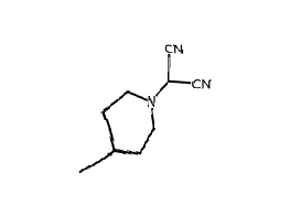 CC1CCN(C(C#N)C#N)CC1